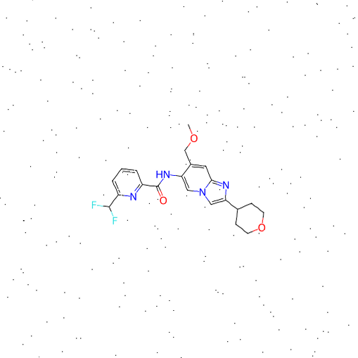 COCc1cc2nc(C3CCOCC3)cn2cc1NC(=O)c1cccc(C(F)F)n1